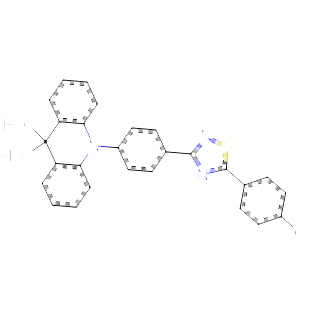 Cc1ccc(-c2nc(-c3ccc(N4c5ccccc5C(C)(C)c5ccccc54)cc3)ns2)cc1